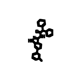 Cc1cccc(-c2ccc3c(NC(=O)C(c4ccccc4)c4ccccc4)n[nH]c3c2)c1